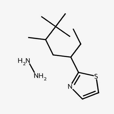 CCC(CC(C)C(C)(C)C)c1nccs1.NN